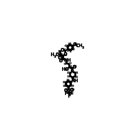 COc1ccc([C@@H]2OCC(C)(C)C(C(=O)NCCC(O)C(=O)N3CCC(Nc4cccc(S(=O)(=O)C(F)(F)F)c4)CC3)O2)cc1